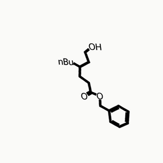 CCCCC(CCO)CCC(=O)OCc1ccccc1